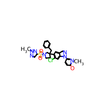 Cn1ncc(S(=O)(=O)N2CCC(Cc3ccccc3)(c3cc4cnn(-c5ccc(=O)n(C)c5)c4cc3Cl)C2)n1